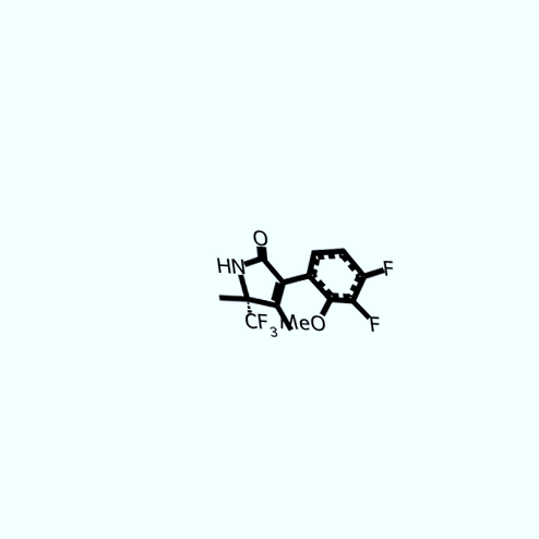 COc1c(C2=C(C)[C@](C)(C(F)(F)F)NC2=O)ccc(F)c1F